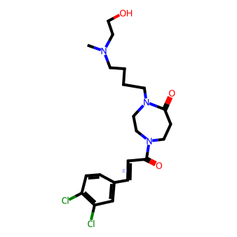 CN(CCO)CCCCN1CCN(C(=O)/C=C/c2ccc(Cl)c(Cl)c2)CCC1=O